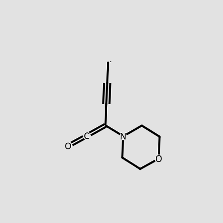 [CH2]C#CC(=C=O)N1CCOCC1